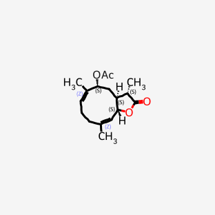 CC(=O)O[C@H]1C[C@H]2[C@H](C)C(=O)O[C@@H]2/C=C(/C)CC/C=C\1C